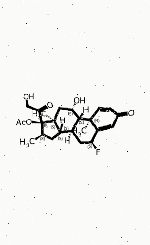 CC(=O)O[C@]1(C(=O)CO)[C@H](C)C[C@H]2[C@@H]3C[C@H](F)C4=CC(=O)C=C[C@]4(C)[C@H]3[C@@H](O)C[C@@]21C